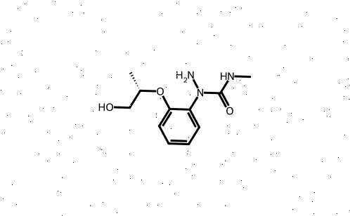 CNC(=O)N(N)c1ccccc1O[C@@H](C)CO